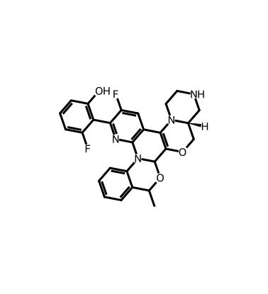 CC1OC2C3=C(c4cc(F)c(-c5c(O)cccc5F)nc4N2c2ccccc21)N1CCNC[C@@H]1CO3